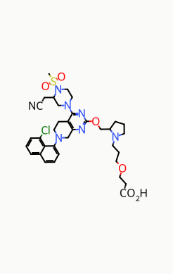 CS(=O)(=O)N1CCN(c2nc(OCC3CCCN3CCCOCCC(=O)O)nc3c2CCN(c2cccc4cccc(Cl)c24)C3)CC1CC#N